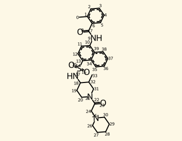 Cc1ccccc1C(=O)Nc1ccc(S(=O)(=O)NC2CCN(C(=O)CN3CCCCC3)CC2C)c2ccccc12